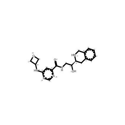 O=C(NCC(O)[C@@H]1Cc2ccccc2CN1)c1cc(NC2COC2)ncn1